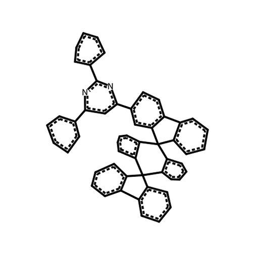 c1ccc(-c2cc(-c3ccc4c(c3)C3(c5ccccc5-4)c4ccccc4C4(c5ccccc5-c5ccccc54)c4ccccc43)nc(-c3ccccc3)n2)cc1